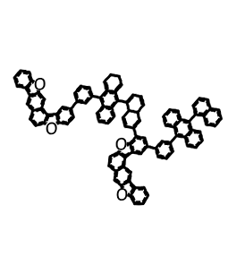 C1=CC2C=C(c3cc(-c4cccc(-c5c6ccccc6c(-c6cccc7ccccc67)c6ccccc56)c4)cc4c3oc3ccc5cc6oc7ccccc7c6cc5c34)C=CC2C(c2c3c(c(-c4cccc(-c5ccc6oc7ccc8cc9c(cc8c7c6c5)oc5ccccc59)c4)c4ccccc24)=CCCC=3)=C1